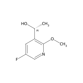 COc1ncc(F)cc1[C@@H](C)O